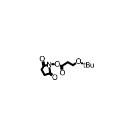 CC(C)(C)OCCC(=O)ON1C(=O)CCC1=O